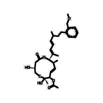 COCc1ccccc1CCC(C)/C=C/C=C(\C)[C@H]1OC(=O)C[C@@H](O)CC[C@](C)(O)[C@H](OC(C)=O)/C=C/[C@@H]1C